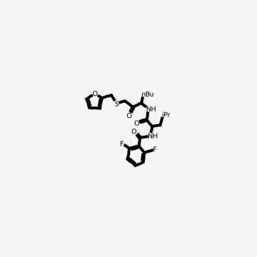 CCCCC(NC(=O)C(CC(C)C)NC(=O)c1c(F)cccc1F)C(=O)CSCc1ccco1